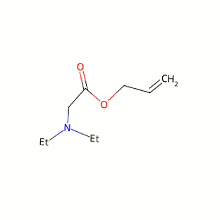 C=CCOC(=O)CN(CC)CC